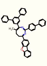 C/C1=C(c2cc(-c3ccccc3)cc(-c3ccccc3)c2)/N=C(c2ccc(-c3ccccc3)cc2)\N=C(\c2ccc3c(c2)oc2ccccc23)CC1